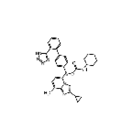 Cc1ccc([C@H](OC(=O)NC2CCCCC2)c2ccc(-c3ccccc3-c3nnn[nH]3)cc2)n2cc(C3CC3)nc12